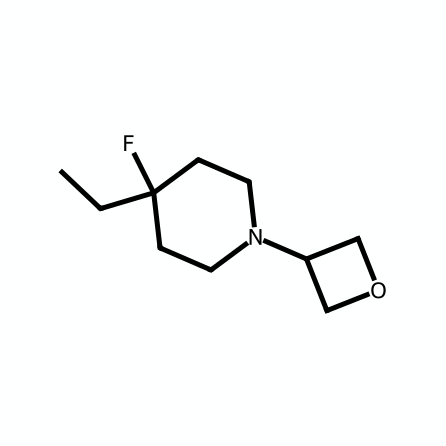 CCC1(F)CCN(C2COC2)CC1